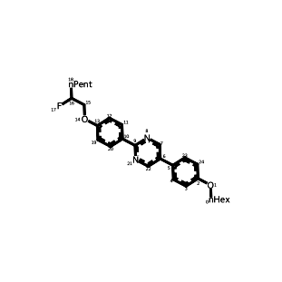 CCCCCCOc1ccc(-c2cnc(-c3ccc(OCC(F)CCCCC)cc3)nc2)cc1